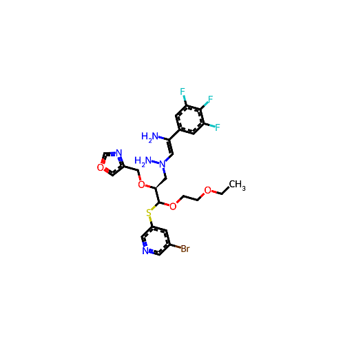 CCOCCOC(Sc1cncc(Br)c1)[C@H](CN(N)/C=C(\N)c1cc(F)c(F)c(F)c1)OCc1cocn1